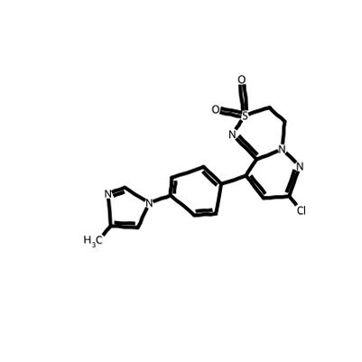 Cc1cn(-c2ccc(C3=CC(Cl)=NN4CCS(=O)(=O)N=C34)cc2)cn1